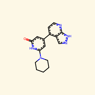 O=c1cc(-c2ccnc3[nH]ncc23)cc(N2CCCCC2)[nH]1